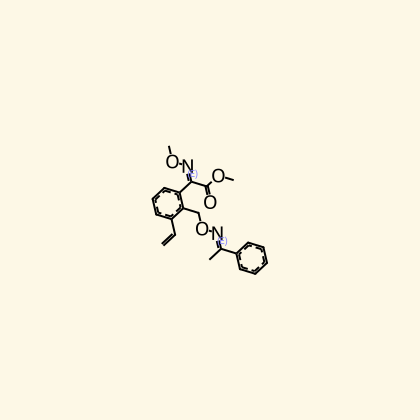 C=Cc1cccc(/C(=N\OC)C(=O)OC)c1CO/N=C(\C)c1ccccc1